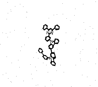 c1ccc(-c2cccc(-n3c4ccccc4c4ccc(-c5ccc6c(c5)c5ccccc5n6-c5cccc(-c6nc(-c7ccccc7)cc(-c7ccccc7)n6)c5)cc43)c2)cc1